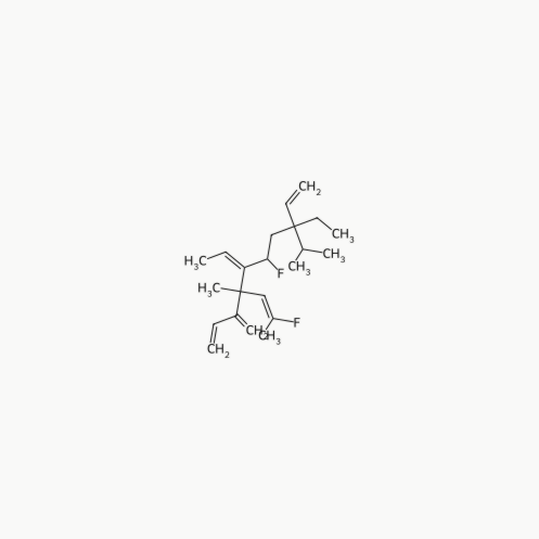 C=CC(=C)C(C)(/C=C(\C)F)/C(=C\C)C(F)CC(C=C)(CC)C(C)C